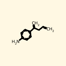 C=CCC(=C)c1ccc(N)cc1